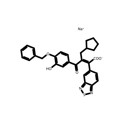 O=C([O-])C(=C(CC1CCCC1)C(=O)c1ccc(OCc2ccccc2)c(O)c1)c1ccc2nsnc2c1.[Na+]